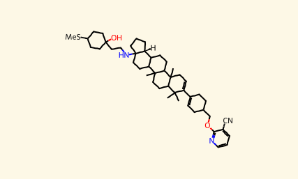 CSC1CCC(O)(CCNC23CCC[C@@H]2C2CCC4C(C)(CCC5C(C)(C)C(C6=CCC(COc7ncccc7C#N)CC6)=CCC54C)C2CC3)CC1